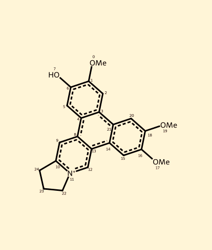 COc1cc2c(cc1O)c1cc3[n+](cc1c1cc(OC)c(OC)cc21)CCC3